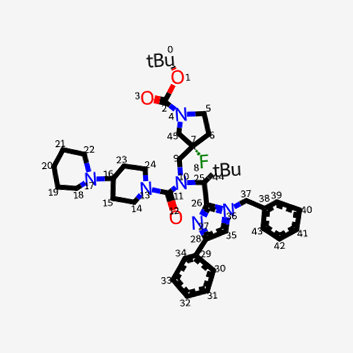 CC(C)(C)OC(=O)N1CC[C@@](F)(CN(C(=O)N2CCC(N3CCCCC3)CC2)C(c2nc(-c3ccccc3)cn2Cc2ccccc2)C(C)(C)C)C1